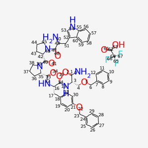 NC(=O)[C@H](COCc1ccccc1)NC(=O)[C@H](Cc1ccc(OCc2ccccc2)cc1)NC(=O)[C@@H]1CCCN1C(=O)[C@@H]1CCCN1C(=O)[C@@H](N)Cc1c[nH]c2ccccc12.O=C(O)C(F)(F)F